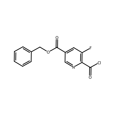 O=C(OCc1ccccc1)c1cnc(C(=O)Cl)c(F)c1